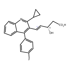 O=C(O)C[C@H](O)/C=C/c1c(C2CC2)nc2ccccc2c1-c1ccc(F)cc1